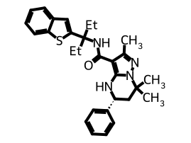 CCC(CC)(NC(=O)c1c(C)nn2c1N[C@@H](c1ccccc1)CC2(C)C)c1cc2ccccc2s1